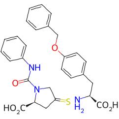 N[C@@H](Cc1ccc(OCc2ccccc2)cc1)C(=O)O.O=C(O)[C@@H]1CC(=S)CN1C(=O)Nc1ccccc1